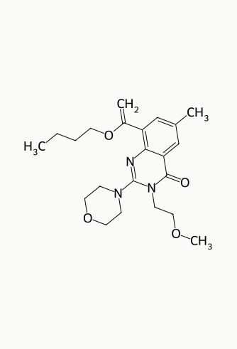 C=C(OCCCC)c1cc(C)cc2c(=O)n(CCOC)c(N3CCOCC3)nc12